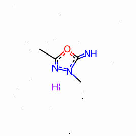 Cc1nn(C)c(=N)o1.I